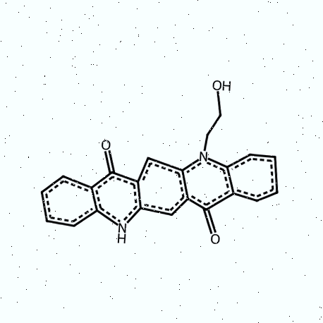 O=c1c2ccccc2[nH]c2cc3c(=O)c4ccccc4n(CCO)c3cc12